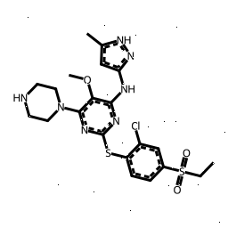 CCS(=O)(=O)c1ccc(Sc2nc(Nc3cc(C)[nH]n3)c(OC)c(N3CCNCC3)n2)c(Cl)c1